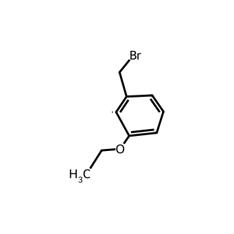 CCOc1[c]c(CBr)ccc1